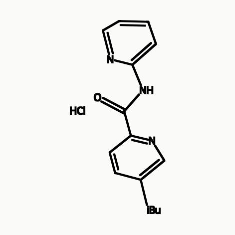 CCC(C)c1ccc(C(=O)Nc2ccccn2)nc1.Cl